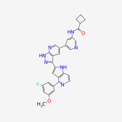 COc1cc(F)cc(-c2nccc3[nH]c(-c4n[nH]c5ncc(-c6cncc(NC(=O)C7CCC7)c6)cc45)cc23)c1